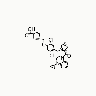 O=C(O)c1ccc(COc2cc(Cl)c(CN3CSC[C@H]3C(=O)N3CCN(C4CC4)c4ccccc43)cc2Cl)cc1